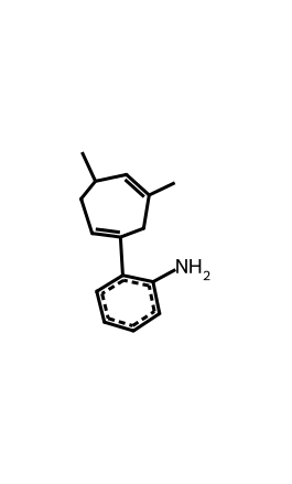 CC1=CC(C)CC=C(c2ccccc2N)C1